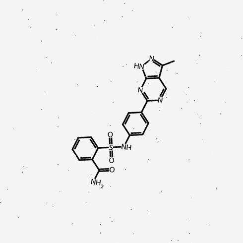 Cc1n[nH]c2nc(-c3ccc(NS(=O)(=O)c4ccccc4C(N)=O)cc3)ncc12